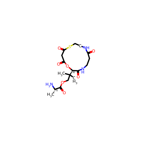 C[C@H](N)C(=O)OCC(C)(C)[C@H]1OC(=O)CC(=O)SCCNC(=O)CCNC1=O